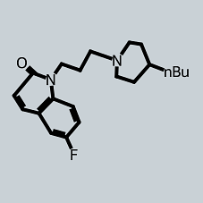 CCCCC1CCN(CCCn2c(=O)ccc3cc(F)ccc32)CC1